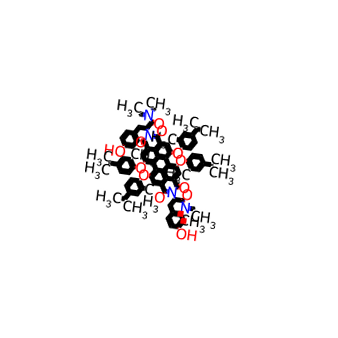 CCN(CC)C(=O)C(Cc1ccc(O)cc1)N1C(=O)c2cc(Oc3ccc(C(C)C)cc3C)c3c4c(Oc5ccc(C(C)C)cc5C)cc5c6c(cc(Oc7ccc(C(C)C)cc7C)c(c7c(Oc8ccc(C(C)C)cc8C)cc(c2c37)C1=O)c64)C(=O)N(C(Cc1ccc(O)cc1)C(=O)N(CC)CC)C5=O